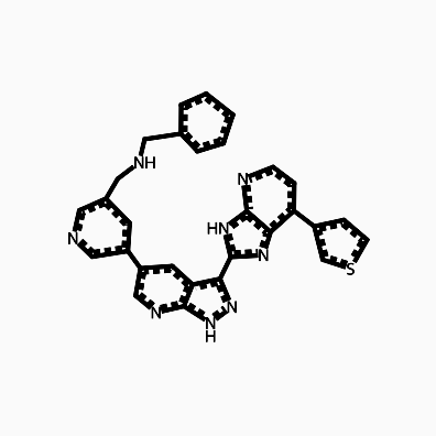 c1ccc(CNCc2cncc(-c3cnc4[nH]nc(-c5nc6c(-c7ccsc7)ccnc6[nH]5)c4c3)c2)cc1